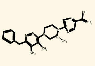 C=C(O)c1cnc(N2CCN(c3nnc(Cc4ccccc4)c(C)c3C)C[C@H]2C)cn1